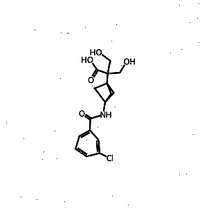 O=C(NC12CC(C(CO)(CO)C(=O)O)(C1)C2)c1cccc(Cl)c1